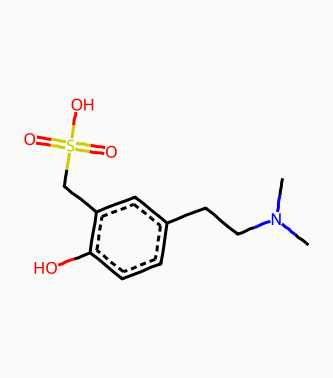 CN(C)CCc1ccc(O)c(CS(=O)(=O)O)c1